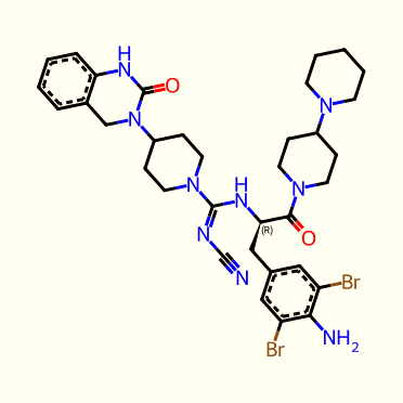 N#CN=C(N[C@H](Cc1cc(Br)c(N)c(Br)c1)C(=O)N1CCC(N2CCCCC2)CC1)N1CCC(N2Cc3ccccc3NC2=O)CC1